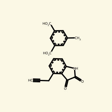 C#CCc1cccc2c1C(=O)C(=O)N2.Cc1cc(C(=O)O)cc(C(=O)O)c1